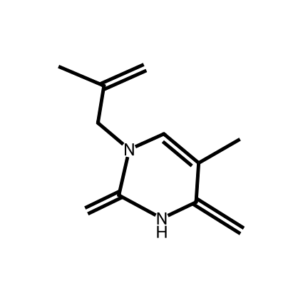 C=C(C)CN1C=C(C)C(=C)NC1=C